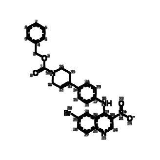 O=C(OCc1ccccc1)N1CC=C(c2ccc(Nc3c([N+](=O)[O-])cnc4ccc(Br)cc34)cc2)CC1